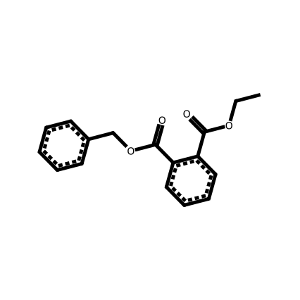 CCOC(=O)c1ccccc1C(=O)OCc1ccccc1